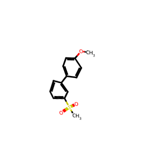 COc1ccc(-c2cccc(S(C)(=O)=O)c2)cc1